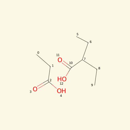 CCC(=O)O.CCC(CC)C(=O)O